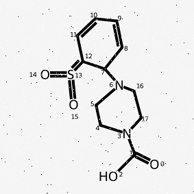 O=C(O)N1CCN(C2C=CC=CC2=S(=O)=O)CC1